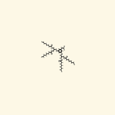 CCCCCCCC(=O)OCC(COC(=O)CCCCCCC)COc1cc(CN(C)C)cc(OCC(COC(=O)CCCCCCC)COC(=O)CCCCCCC)c1